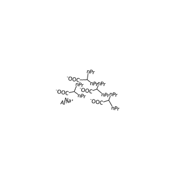 CCCC(CCC)C(=O)[O-].CCCC(CCC)C(=O)[O-].CCCC(CCC)C(=O)[O-].CCCC(CCC)C(=O)[O-].[Al+3].[Na+]